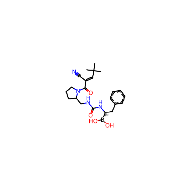 CC(C)(C)C=C(C#N)C(=O)N1CCCC1CNC(=O)N[C@@H](Cc1ccccc1)B(O)O